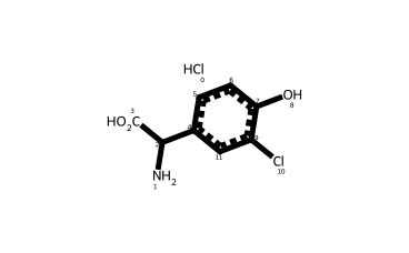 Cl.NC(C(=O)O)c1ccc(O)c(Cl)c1